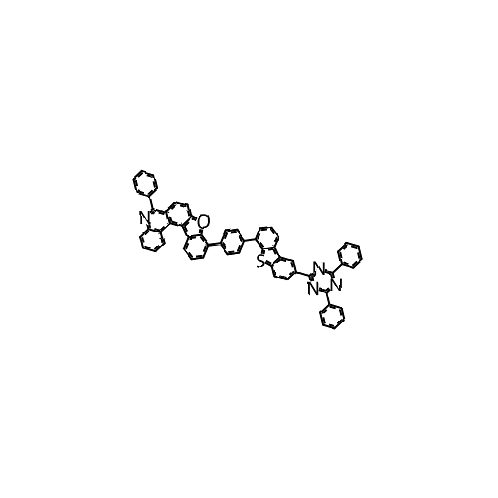 c1ccc(-c2nc(-c3ccccc3)nc(-c3ccc4sc5c(-c6ccc(-c7cccc8c7oc7ccc9c(-c%10ccccc%10)nc%10ccccc%10c9c78)cc6)cccc5c4c3)n2)cc1